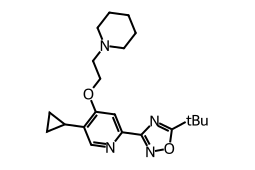 CC(C)(C)c1nc(-c2cc(OCCN3CCCCC3)c(C3CC3)cn2)no1